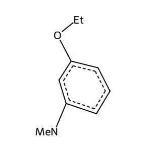 CCOc1cccc(NC)c1